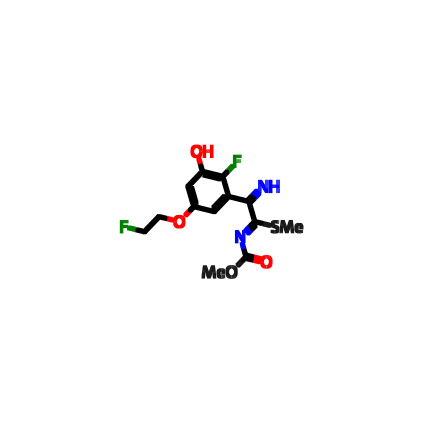 COC(=O)N=C(SC)C(=N)c1cc(OCCF)cc(O)c1F